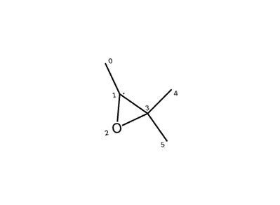 C[C]1OC1(C)C